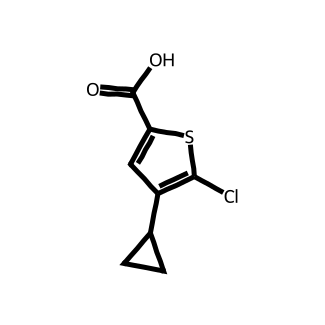 O=C(O)c1cc(C2CC2)c(Cl)s1